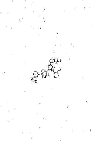 CCOC(=O)c1cc(-c2nnc(-c3cccc(S(C)(=O)=O)c3)o2)n(-c2ccccc2Cl)n1